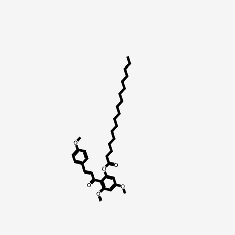 CCCCCCCCCCCCCCCCCC(=O)Oc1cc(OC)cc(OC)c1C(=O)/C=C/c1ccc(OC)cc1